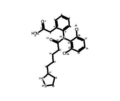 NC(=O)Cc1ccccc1N(C(=O)CCCCC1CCSS1)c1c(Cl)cccc1Cl